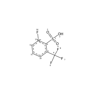 O=S(=O)(O)c1c(C(F)(F)F)ccc[n+]1F